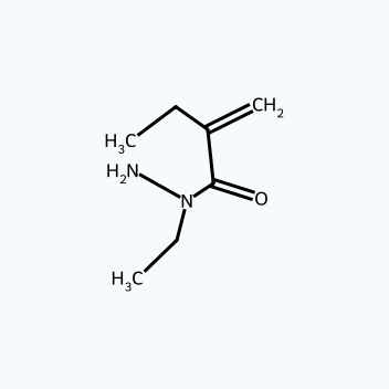 C=C(CC)C(=O)N(N)CC